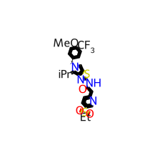 CCS(=O)(=O)c1ccc(CC(=O)Nc2nc3c(s2)CN(C[C@H]2CC[C@](OC)(C(F)(F)F)CC2)C3C(C)C)nc1